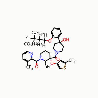 [2H]C([2H])(Oc1ccccc1C1(O)CCN(C(=O)[C@]2(Oc3csc(C(F)(F)F)c3)CCCN(C(=O)c3ncccc3C(F)(F)F)[C@@H]2CCC)CC1)C([2H])([2H])C([2H])([2H])C(=O)O